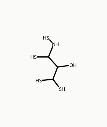 OC(C(S)S)C(S)NS